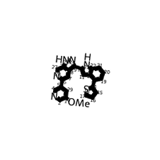 COc1cncc(-c2cc3c(-c4cc5c(-c6cccs6)cccc5[nH]4)n[nH]c3cn2)c1